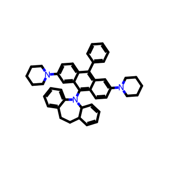 C1=CC2CCc3ccccc3N(c3c4ccc(N5CCCCC5)cc4c(-c4ccccc4)c4ccc(N5CCCCC5)cc34)C2C=C1